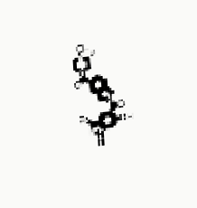 CC(C)c1n[nH]c2cc(O)c(C(=O)N3Cc4ccc(C(=O)N5CCN(C)CC5)cc4C3)cc12